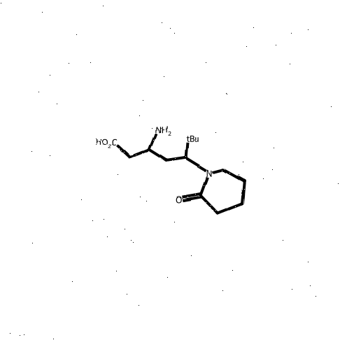 CC(C)(C)C(CC(N)CC(=O)O)N1CCCCC1=O